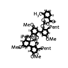 CCCC(C)c1cc(OC)cc(-c2cc(OC)cc(C(C)CCC)c2Op2oc3c(C(C)CCC)cc(OC)cc3c3cc(OC)cc(C(C)CCC)c3o2)c1OP1OC(=O)c2cccc(C)c2O1